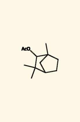 CC(=O)OC1C2(C)CCC(C2)C1(C)C